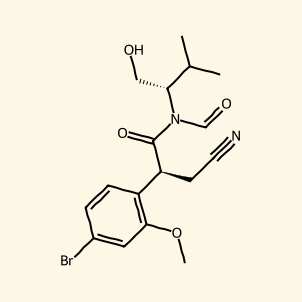 COc1cc(Br)ccc1[C@H](CC#N)C(=O)N(C=O)[C@H](CO)C(C)C